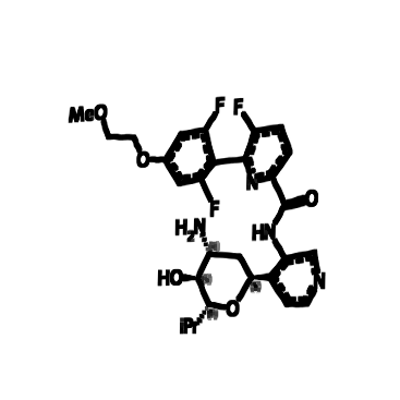 COCCOc1cc(F)c(-c2nc(C(=O)Nc3cnccc3[C@@H]3C[C@@H](N)[C@H](O)[C@@H](C(C)C)O3)ccc2F)c(F)c1